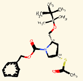 CC(=O)S[C@H]1C[C@@H](CO[Si](C)(C)C(C)(C)C)N(C(=O)OCc2ccccc2)C1